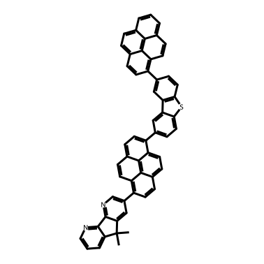 CC1(C)c2cccnc2-c2ncc(-c3ccc4ccc5c(-c6ccc7sc8ccc(-c9ccc%10ccc%11cccc%12ccc9c%10c%11%12)cc8c7c6)ccc6ccc3c4c65)cc21